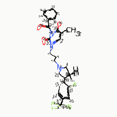 Cc1cn(CCCN2C[C@@H]3C[C@]3([C@H]3CC=C(C(F)(F)F)C=C3F)C2)c(=O)n(C(=O)c2ccccc2)c1=O